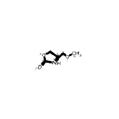 COCC1COC(=O)N1